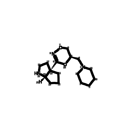 C1CCN(C[C@@H]2CON=C([C@]34CCC[C@H]3NCC4)O2)CC1